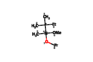 CCC(C)(C)[Si](C)(OC)OC(C)C